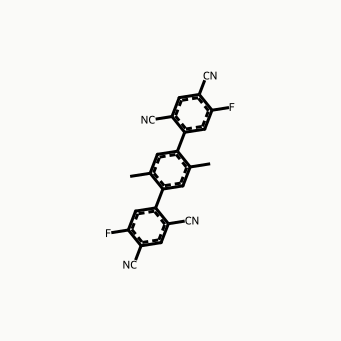 Cc1cc(-c2cc(F)c(C#N)cc2C#N)c(C)cc1-c1cc(F)c(C#N)cc1C#N